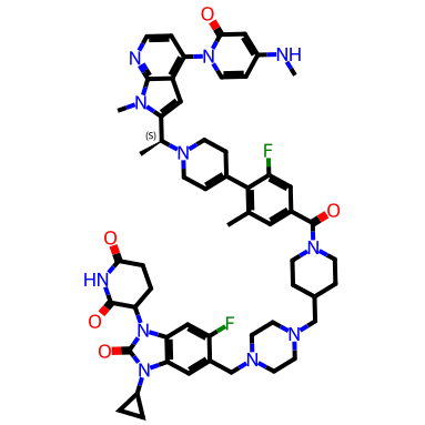 CNc1ccn(-c2ccnc3c2cc([C@H](C)N2CC=C(c4c(C)cc(C(=O)N5CCC(CN6CCN(Cc7cc8c(cc7F)n(C7CCC(=O)NC7=O)c(=O)n8C7CC7)CC6)CC5)cc4F)CC2)n3C)c(=O)c1